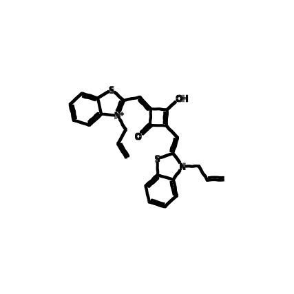 C=CCN1/C(=C/C2=C(O)C(=C/c3sc4ccccc4[n+]3CC=C)/C2=O)Sc2ccccc21